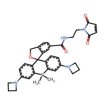 C[Si]1(C)c2cc(N3CCC3)ccc2C2(OCc3ccc(C(=O)NCCN4C(=O)C=CC4=O)cc32)c2ccc(N3CCC3)cc21